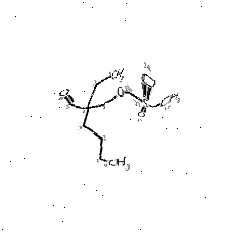 CCCCC(C=O)(CC)COS(C)(=O)=O